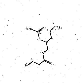 CCCNCC(=O)OCC(COC(=O)OCC)OC(=O)NC